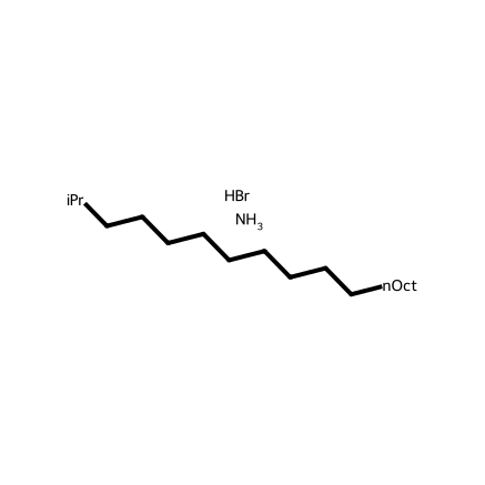 Br.CCCCCCCCCCCCCCCCCC(C)C.N